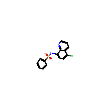 O=S(=O)(Nc1ccc(Cl)c2cccnc12)c1ccccc1